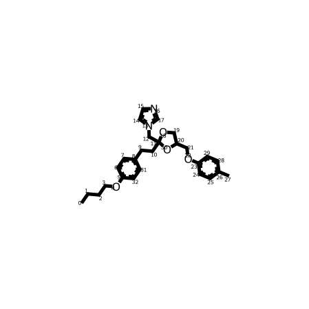 CCCCOc1ccc(CCC2(Cn3ccnc3)OCC(COc3ccc(C)cc3)O2)cc1